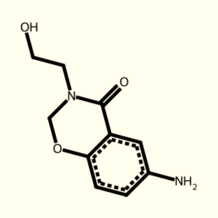 Nc1ccc2c(c1)C(=O)N(CCO)CO2